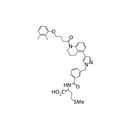 CSCC[C@H](NC(=O)c1cccc(Cn2cc(-c3cccc4c3CCCN4C(=O)CCCOc3cccc(C)c3C)cn2)c1)C(=O)O